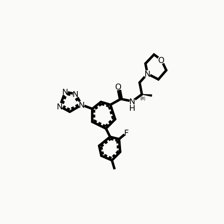 Cc1ccc(-c2cc(C(=O)N[C@H](C)CN3CCOCC3)cc(-n3cnnn3)c2)c(F)c1